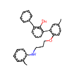 Cc1ccc(OCCCNc2ccccc2C)c(-c2cccc(-c3ccccc3)c2O)c1